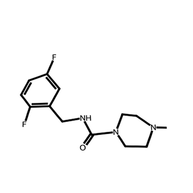 CN1CCN(C(=O)NCc2cc(F)ccc2F)CC1